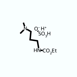 CCOC(=O)NCCCN(C)C.O=S(=O)([O-])O.[H+]